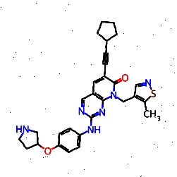 Cc1sncc1Cn1c(=O)c(C#CC2CCCC2)cc2cnc(Nc3ccc(OC4CCNC4)cc3)nc21